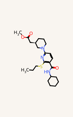 CCCSc1nc(N2CCC[C@H](CC(=O)OC)C2)ccc1C(=O)NC1CCCCC1